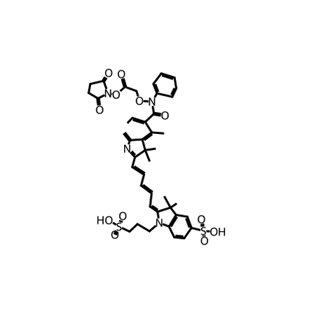 C=C1N=C(/C=C/C=C/C=C2/N(CCCS(=O)(=O)O)c3ccc(S(=O)(=O)O)cc3C2(C)C)C(C)(C)/C1=C(C)/C(=C\C)C(=O)N(OCC(=O)ON1C(=O)CCC1=O)c1ccccc1